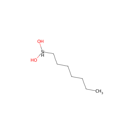 CCCCCCC[SiH](O)O